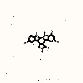 O=C1NCC2=C1C1=C3CC(O)=CC(=O)C3NC1c1[nH]c3ccc(O)cc3c12